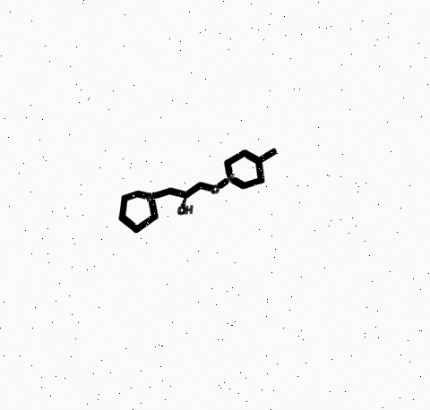 CC1CCN(OC[C@H](O)CN2CCCCC2)CC1